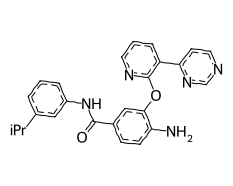 CC(C)c1cccc(NC(=O)c2ccc(N)c(Oc3ncccc3-c3ccncn3)c2)c1